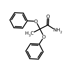 CC(Oc1ccccc1)(Oc1ccccc1)C(N)=O